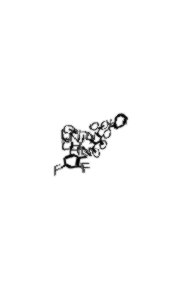 C[C@@H]1CCO[C@H](Cn2cc(C(=O)NCc3ccc(F)cc3F)c(=O)c(OCc3ccccc3)c2C(=O)O)N1